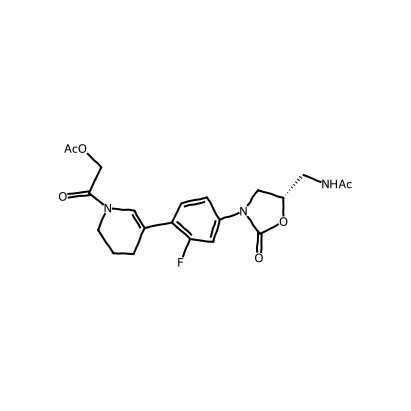 CC(=O)NC[C@H]1CN(c2ccc(C3=CN(C(=O)COC(C)=O)CCC3)c(F)c2)C(=O)O1